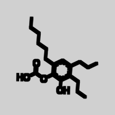 CCCCCCc1cc(CCC)c(CCC)c(O)c1OC(=O)O